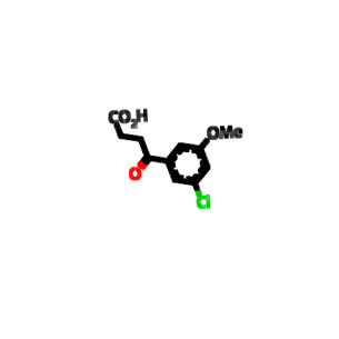 COc1cc(Cl)cc(C(=O)CCC(=O)O)c1